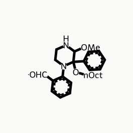 CCCCCCCCOC1(c2ccccc2)C(OC)NCCN1c1ccccc1[C]=O